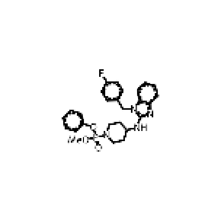 COP(=O)(Oc1ccccc1)N1CCC(Nc2nc3ccccc3n2Cc2ccc(F)cc2)CC1